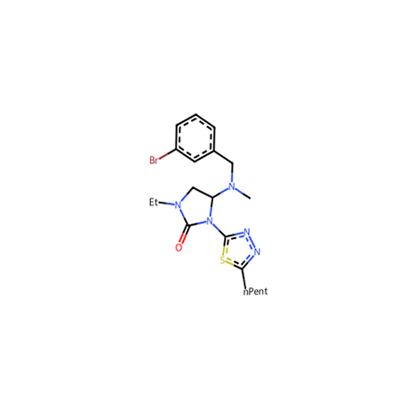 CCCCCc1nnc(N2C(=O)N(CC)CC2N(C)Cc2cccc(Br)c2)s1